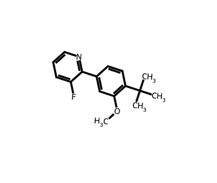 COc1cc(-c2ncccc2F)ccc1C(C)(C)C